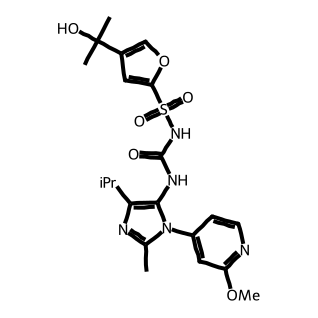 COc1cc(-n2c(C)nc(C(C)C)c2NC(=O)NS(=O)(=O)c2cc(C(C)(C)O)co2)ccn1